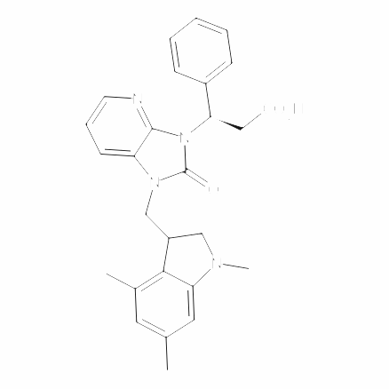 Cc1cc(C)c2c(c1)N(C)CC2Cn1c(=O)n([C@H](CC(=O)O)c2ccccc2)c2ncccc21